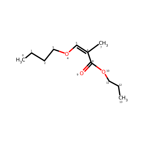 CCCCOC=C(C)C(=O)OCCC